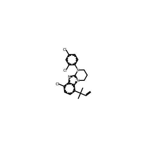 C=CC(C)(C)c1ccc(Cl)c2nc3n(c12)CCCN3c1ccc(Cl)cc1Cl